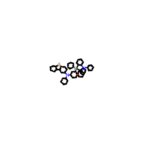 c1ccc(N(c2cccc([Si](c3ccccc3)(c3ccccc3)c3ccccc3N(c3ccccc3)c3ccccc3)c2)c2ccc3sc4ccccc4c3c2)cc1